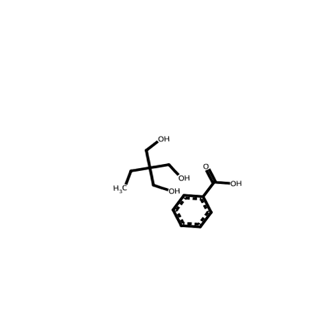 CCC(CO)(CO)CO.O=C(O)c1ccccc1